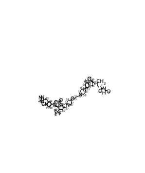 CC(CCC(=O)NC=O)N(C)Cc1cc(N2CCN(CCCOC3CCN(CC4=CN(C=O)/C(=C\N(C)c5cccc(Cc6nncn6C)c5)C(C(F)(F)F)=C4)CC3)CC2)ccc1C=O